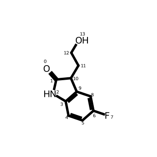 O=C1Nc2ccc(F)cc2C1CCO